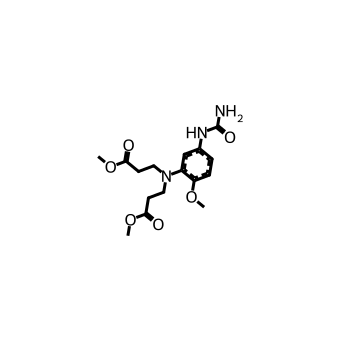 COC(=O)CCN(CCC(=O)OC)c1cc(NC(N)=O)ccc1OC